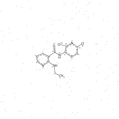 CCNc1ncccc1C(=O)Nc1ccc(Cl)nc1Cl